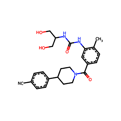 Cc1ccc(C(=O)N2CCC(c3ccc(C#N)cc3)CC2)cc1NC(=O)NC(CO)CO